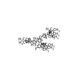 CC(C)OP(=O)(OC(C)C)O[C@H](C)c1ncc(Oc2nc(N3C[C@H]4C[C@@H]3C[C@H]4NC(=O)OC(C)(C)C)c3c(n2)[nH]c2c(N(C)C(=O)OC(C)(C)C)cc(F)c(F)c23)cn1